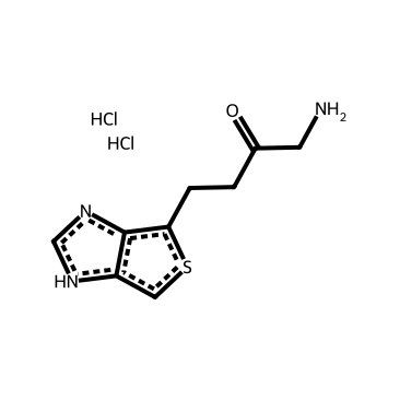 Cl.Cl.NCC(=O)CCc1scc2[nH]cnc12